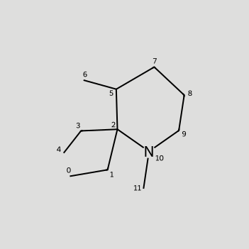 CCC1(CC)C(C)CCCN1C